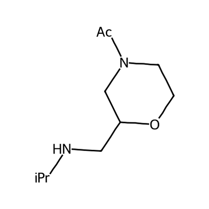 CC(=O)N1CCOC(CNC(C)C)C1